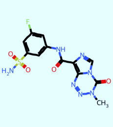 Cn1nnc2c(C(=O)Nc3cc(F)cc(S(N)(=O)=O)c3)ncn2c1=O